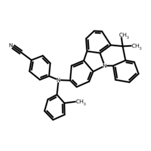 Cc1ccccc1N(c1ccc(C#N)cc1)c1ccc2c(c1)c1cccc3c1n2-c1ccccc1C3(C)C